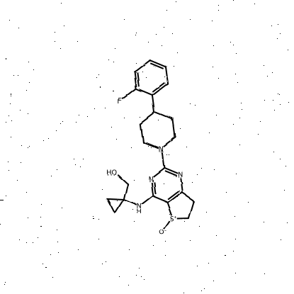 [O-][S+]1CCc2nc(N3CCC(c4ccccc4F)CC3)nc(NC3(CO)CC3)c21